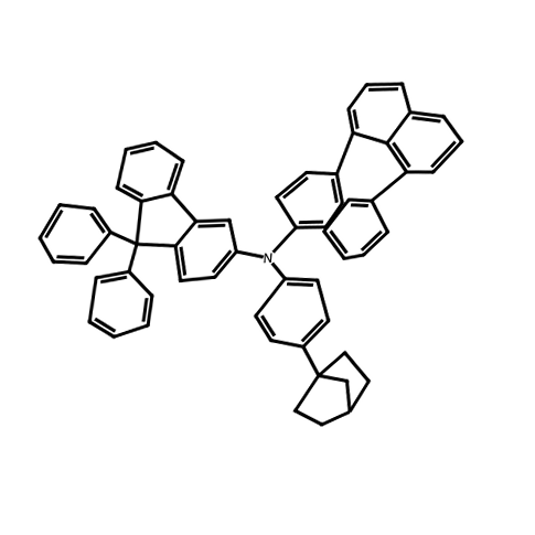 c1ccc(-c2cccc3cccc(-c4ccc(N(c5ccc(C67CCC(CC6)C7)cc5)c5ccc6c(c5)-c5ccccc5C6(c5ccccc5)c5ccccc5)cc4)c23)cc1